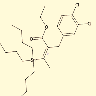 CCC[CH2][Sn]([CH2]CCC)([CH2]CCC)/[C](C)=C(/Cc1ccc(Cl)c(Cl)c1)C(=O)OCC